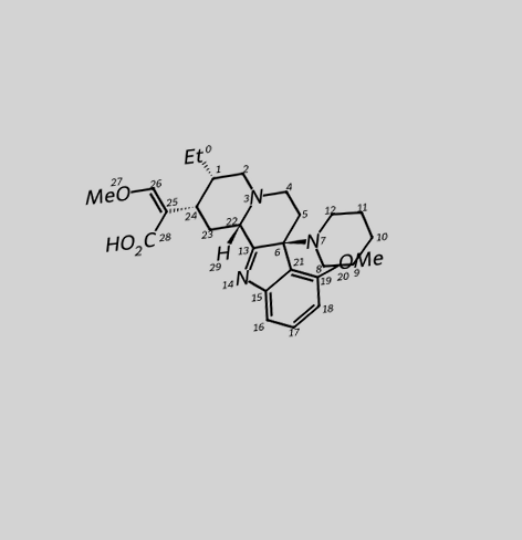 CC[C@@H]1CN2CC[C@@]3(N4CCCCC4)C(=Nc4cccc(OC)c43)[C@@H]2C[C@@H]1C(=COC)C(=O)O